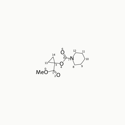 COC(=O)C1(OC(=O)N2CCCCC2)CC1